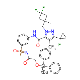 CC1(Cn2nc(C3(F)CC3)c(C(F)(F)F)c2C(=O)Nc2cccc(S(C)(=O)=NC(=O)CO[Si](c3ccccc3)(c3ccccc3)C(C)(C)C)c2)CC(F)(F)C1